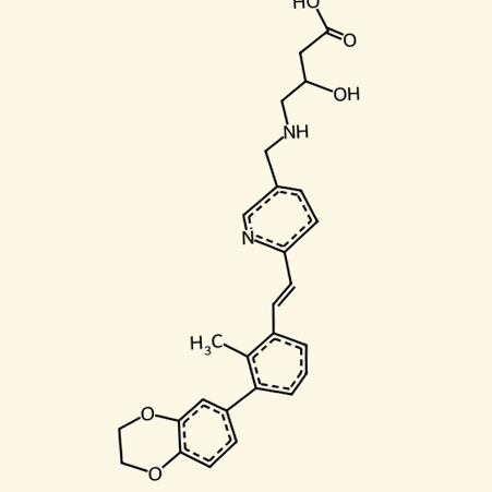 Cc1c(C=Cc2ccc(CNCC(O)CC(=O)O)cn2)cccc1-c1ccc2c(c1)OCCO2